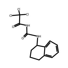 O=C(NC(=O)C(Cl)(Cl)Cl)NC1CCCc2ccccc21